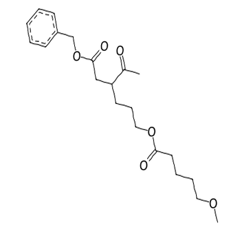 COCCCCC(=O)OCCCC(CC(=O)OCc1ccccc1)C(C)=O